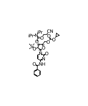 CC(C)N(C(C)C)P(OCCC#N)O[C@H]1C(O[Si](C)(C)C)[C@H](n2ccc(NC(=O)c3ccccc3)nc2=O)O[C@@H]1COC(=O)OC1CC1